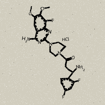 COc1cc2c(N)nc(N3CCN(C(=O)CC(N)c4ccc(F)cc4F)CC3)nc2c(F)c1OC.Cl